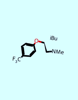 CC[C@H](C)[C@@H](CNC)Oc1ccc(C(F)(F)F)cc1